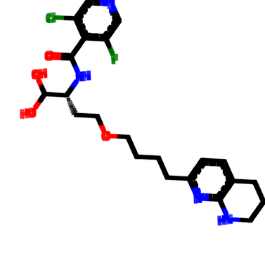 O=C(N[C@H](CCOCCCCc1ccc2c(n1)NCCC2)C(O)O)c1c(F)cncc1Cl